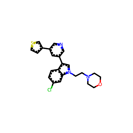 Clc1ccc2c(-c3cncc(-c4ccsc4)c3)cn(CCN3CCOCC3)c2c1